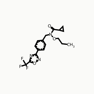 CCCON(Cc1ccc(-c2noc(C(F)(F)F)n2)cc1)C(=O)C1CC1